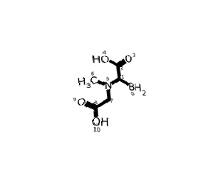 BC(C(=O)O)N(C)CC(=O)O